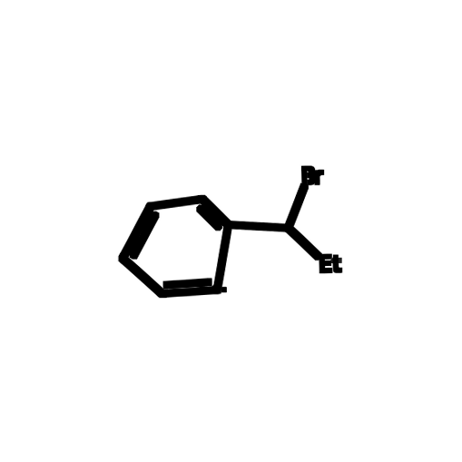 CCC(Br)c1[c]cccc1